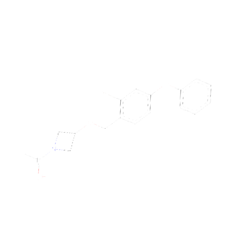 CB(O)N1CC(OCc2ccc(Oc3ccccc3)cc2Br)C1